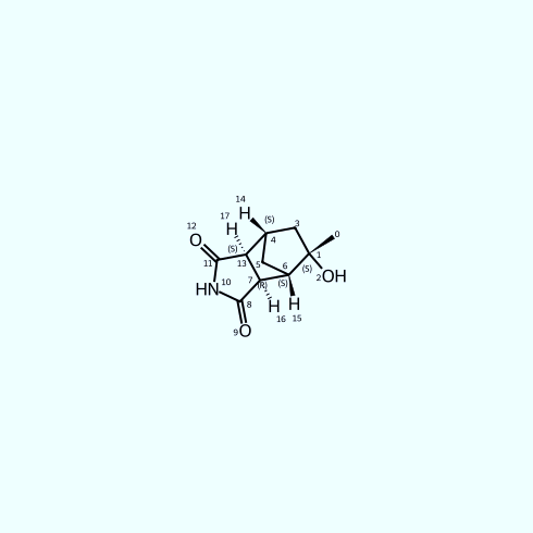 C[C@]1(O)C[C@@H]2C[C@H]1[C@H]1C(=O)NC(=O)[C@@H]21